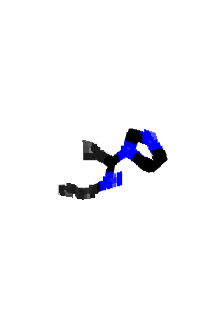 CCCCCNC(CC)n1ccnc1